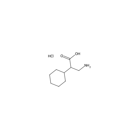 Cl.NCC(C(=O)O)C1CCCCC1